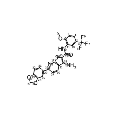 COc1ccc(C(F)(F)F)cc1NC(=O)c1sc2nc(-c3ccc4c(c3)OCO4)ccc2c1N